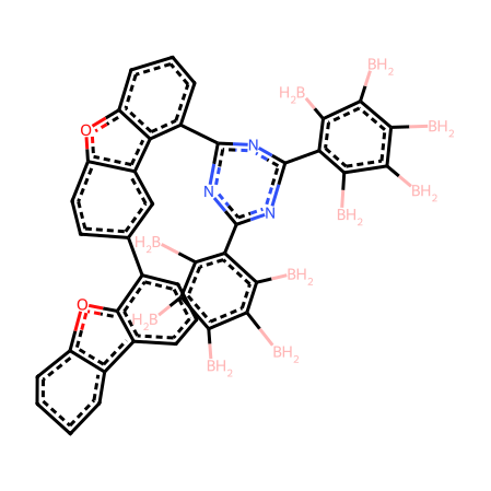 Bc1c(B)c(B)c(-c2nc(-c3c(B)c(B)c(B)c(B)c3B)nc(-c3cccc4oc5ccc(-c6cccc7c6oc6ccccc67)cc5c34)n2)c(B)c1B